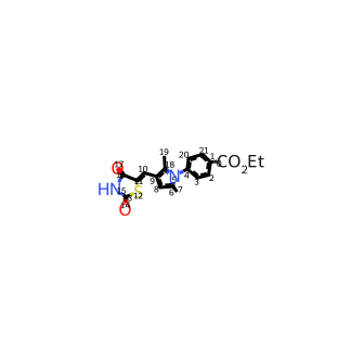 CCOC(=O)c1ccc(-n2c(C)cc(/C=C3\SC(=O)NC3=O)c2C)cc1